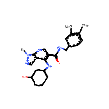 CCn1ncc2c(NC3CCCC(O)C3)c(C(=O)NCc3ccc(OC)c(OC)c3)cnc21